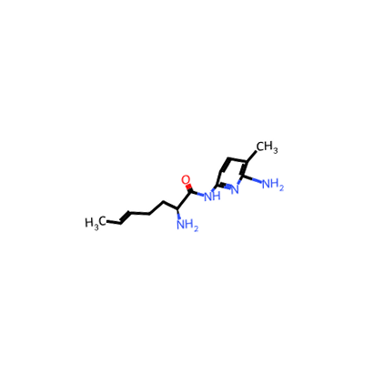 C/C=C/CC[C@H](N)C(=O)Nc1ccc(C)c(N)n1